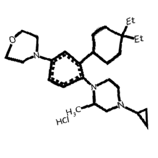 CCC1(CC)CCC(c2cc(N3CCOCC3)ccc2N2CCN(C3CC3)CC2C)CC1.Cl